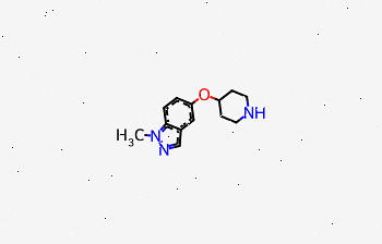 Cn1ncc2cc(OC3CCNCC3)ccc21